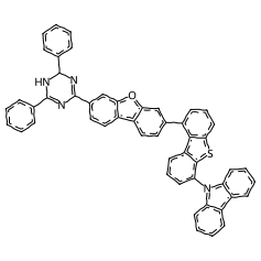 c1ccc(C2=NC(c3ccc4c(c3)oc3cc(-c5cccc6sc7c(-n8c9ccccc9c9ccccc98)cccc7c56)ccc34)=NC(c3ccccc3)N2)cc1